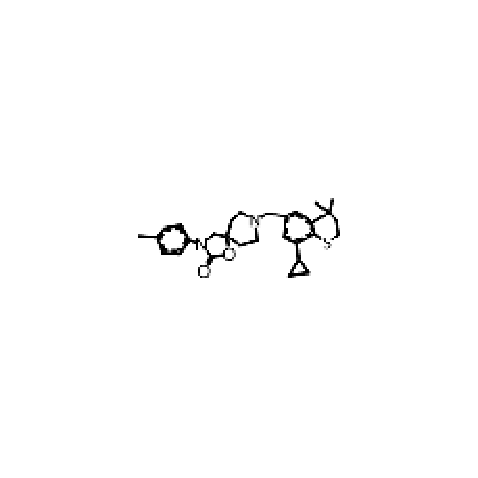 Cc1ccc(N2CC3(CCN(Cc4cc(C5CC5)c5c(c4)C(C)(C)CCS5)CC3)OC2=O)cc1